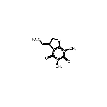 Cn1c2c(c(=O)n(C)c1=O)C(=CC(=O)O)CO2